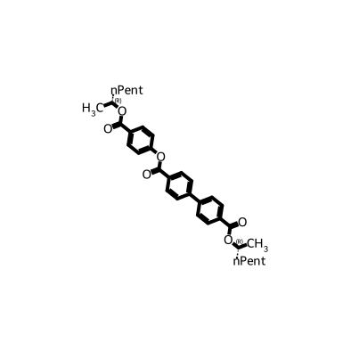 CCCCC[C@@H](C)OC(=O)c1ccc(OC(=O)c2ccc(-c3ccc(C(=O)O[C@H](C)CCCCC)cc3)cc2)cc1